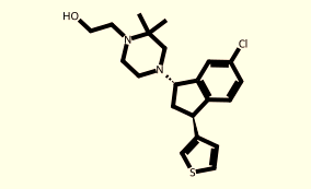 CC1(C)CN([C@H]2C[C@H](c3ccsc3)c3ccc(Cl)cc32)CCN1CCO